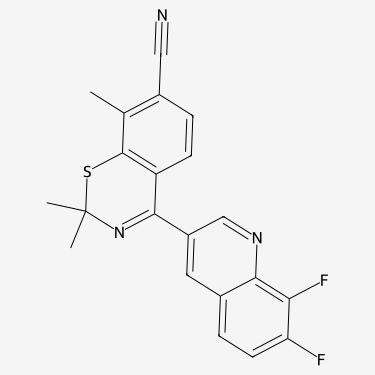 Cc1c(C#N)ccc2c1SC(C)(C)N=C2c1cnc2c(F)c(F)ccc2c1